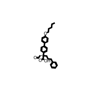 CCCCCOc1ccc(-c2ccc([C@@](CC=O)(CCCc3ccccc3)C(=O)O)cc2)cc1